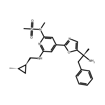 C[C@H]1C[C@@H]1CNc1cc(-c2ncc([C@](C)(N)Cc3ccccc3)o2)cc(N(C)S(C)(=O)=O)n1